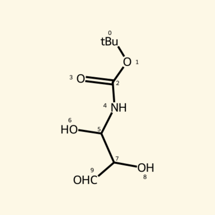 CC(C)(C)OC(=O)NC(O)C(O)C=O